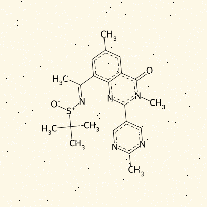 CC(=N[S+]([O-])C(C)(C)C)c1cc(C)cc2c(=O)n(C)c(-c3cnc(C)nc3)nc12